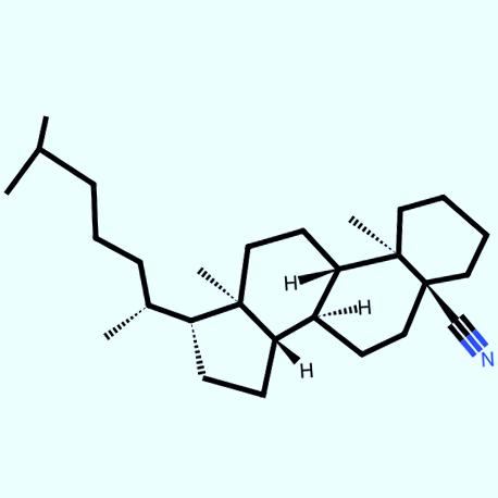 CC(C)CCC[C@@H](C)[C@H]1CC[C@H]2[C@@H]3CC[C@@]4(C#N)CCCC[C@]4(C)[C@H]3CC[C@]12C